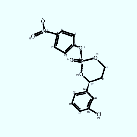 O=[N+]([O-])c1ccc(O[P@@]2(=O)OCC[C@@H](c3cccc(Cl)c3)O2)cc1